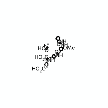 COc1cc(CC(=O)Nc2ccc([C@@H](CC(=O)O)NC(=O)C3CCN(CC(=O)O)CC3)cc2)ccc1NC(=O)Nc1ccccc1C.O=C(O)C(F)(F)F